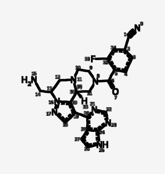 N#Cc1ccc(C(=O)N2CCN3CC(CN)n4ncc(-c5ncnc6[nH]ccc56)c4[C@H]3C2)c(F)c1